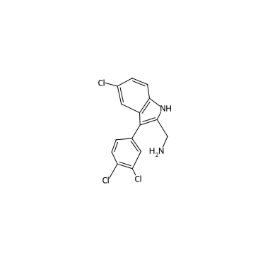 NCc1[nH]c2ccc(Cl)cc2c1-c1ccc(Cl)c(Cl)c1